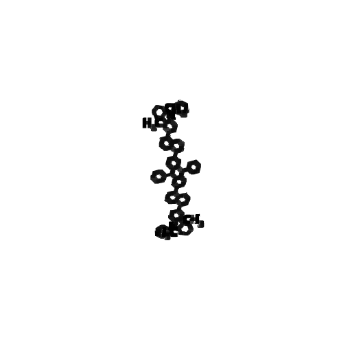 CC12CCCCC1(C)N(c1ccccc1)c1ccc(-c3cccc4c(-c5ccc6c(-c7ccccc7)c7cc(-c8cccc9c(-c%10ccc%11c(c%10)C%10(C)CCCCC%10(C)N%11c%10ccccc%10)cccc89)ccc7c(-c7ccccc7)c6c5)cccc34)cc12